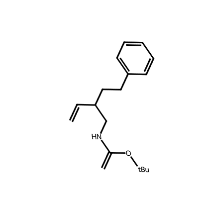 C=CC(CCc1ccccc1)CNC(=C)OC(C)(C)C